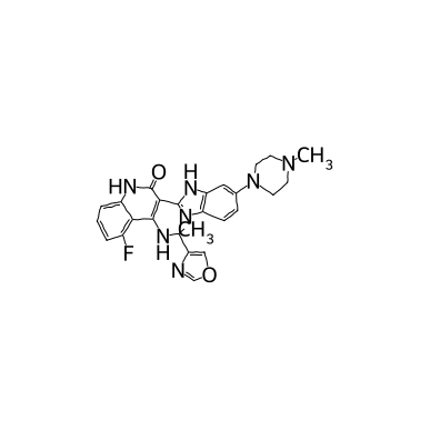 CC(Nc1c(-c2nc3ccc(N4CCN(C)CC4)cc3[nH]2)c(=O)[nH]c2cccc(F)c12)c1cocn1